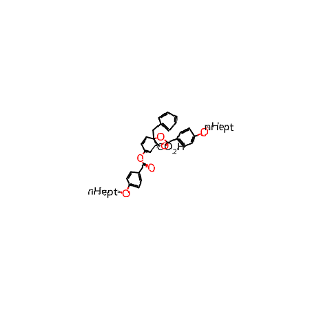 CCCCCCCOc1ccc(C(=O)OC2=CC(C(=O)O)C(Cc3ccccc3)(OC(=O)c3ccc(OCCCCCCC)cc3)C=C2)cc1